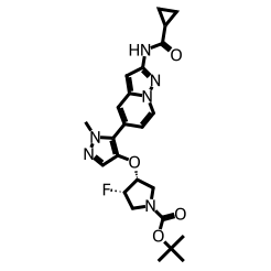 Cn1ncc(O[C@@H]2CN(C(=O)OC(C)(C)C)C[C@@H]2F)c1-c1ccn2nc(NC(=O)C3CC3)cc2c1